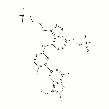 CCn1c(C)nc2c(F)cc(-c3nc(Nc4ccc(COS(C)(=O)=O)c5cnn(COCC[Si](C)(C)C)c45)ncc3Cl)cc21